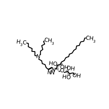 CCCCCCCCCCCCCC[C@@H](O)[C@@H](O)[C@H](COC[C@H](O)[C@@H](O)CO)n1cc(CCCCCN(CCCCCCC)CCCCCCC)nn1